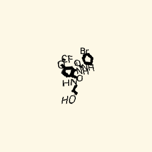 O=C(Nc1cccc(Br)c1)Nc1cc(OC(F)(F)F)ccc1C(=O)NCCCO